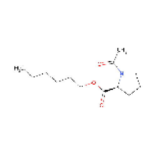 CCCCCCOC(=O)[C@@H]1CCCN1C(C)=O